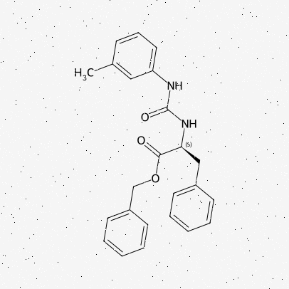 Cc1cccc(NC(=O)N[C@@H](Cc2ccccc2)C(=O)OCc2ccccc2)c1